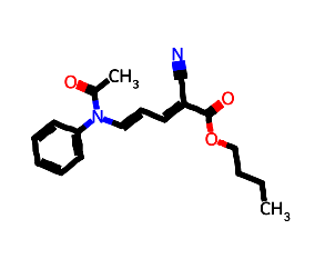 CCCCOC(=O)/C(C#N)=C/C=C/N(C(C)=O)c1ccccc1